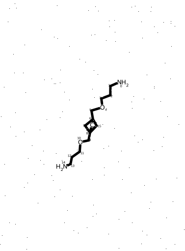 NCCCOCC12CC(COCCCN)(C1)C2